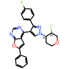 Fc1ccc(-c2nn([C@@H]3CCOC[C@@H]3F)cc2-c2ncnc3oc(-c4ccccc4)cc23)cc1